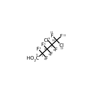 O=C(O)C(F)(F)C(F)(F)C(F)(Cl)C(F)(F)Cl